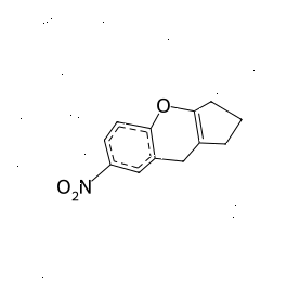 O=[N+]([O-])c1ccc2c(c1)CC1=C(CCC1)O2